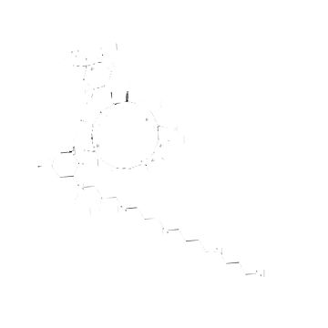 CC[C@H]1OC(=O)[C@H](C)[C@@H](O[C@H]2C[C@@](C)(OC)[C@@H](O)[C@H](C)O2)[C@H](C)[C@@H](O[C@@H]2O[C@H](C)CC(N(C)CC(O)CNCCCNCCCCNCCCN)[C@H]2O)[C@](C)(O)C[C@@H](C)CN(C)[C@H](C)[C@@H](O)[C@]1(C)O